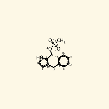 CS(=O)(=O)OCc1[nH]ccc1Cc1ccccc1